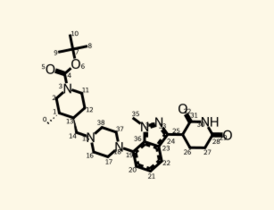 C[C@@H]1CN(C(=O)OC(C)(C)C)CC[C@H]1CN1CCN(c2cccc3c(C4CCC(=O)NC4=O)nn(C)c23)CC1